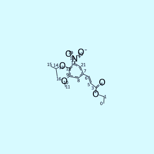 CCOC(=O)/C=C/c1cc(OC)c(OC(C)C)c([N+](=O)[O-])c1